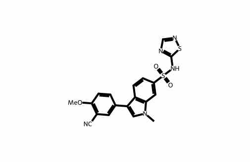 COc1ccc(-c2cn(C)c3cc(S(=O)(=O)Nc4ncns4)ccc23)cc1C#N